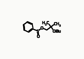 CC(C)COC(C)(C)COS(=O)c1ccccc1